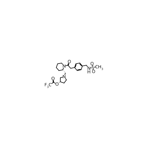 CS(=O)(=O)NCc1ccc(CC(=O)N2CCCC[C@H]2CN2CC[C@H](OC(=O)C(F)(F)F)C2)cc1